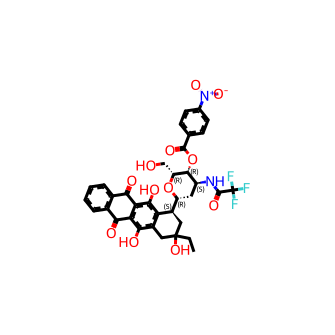 CCC1(O)Cc2c(O)c3c(c(O)c2[C@@H]([C@H]2C[C@H](NC(=O)C(F)(F)F)[C@@H](OC(=O)c4ccc([N+](=O)[O-])cc4)[C@@H](CO)O2)C1)C(=O)c1ccccc1C3=O